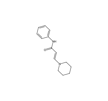 O=C(C=CN1CCCCC1)Nc1ccccc1